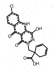 O=C(O)C1(Cn2nc(O)c3[nH]c4cc(Cl)ccc4c(=O)c3c2=O)C=CC=CC1